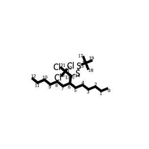 CCCCCCC(CCCCCC)[C@@H](SSC(C)(C)C)C(Cl)(Cl)Cl